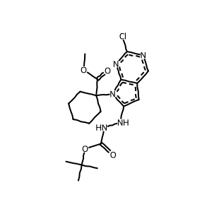 COC(=O)C1(n2c(NNC(=O)OC(C)(C)C)cc3cnc(Cl)nc32)CCCCC1